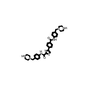 O=C(Nc1ccc(CN2CCNCC2)cc1)c1ccc(-c2csc(C(=O)Nc3ccc(CN4CCNCC4)cc3)n2)cc1